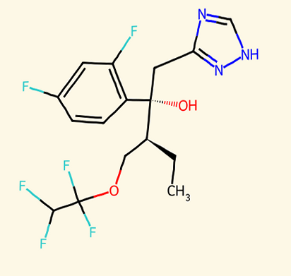 CC[C@@H](COC(F)(F)C(F)F)[C@](O)(Cc1nc[nH]n1)c1ccc(F)cc1F